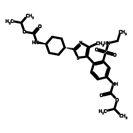 CCNS(=O)(=O)c1cc(NC(=O)OC(C)C)ccc1-c1sc([C@H]2CC[C@H](NC(=O)OC(C)C)CC2)nc1C